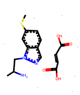 CSc1ccc2cnn(CC(C)N)c2c1.O=C(O)C=CC(=O)O